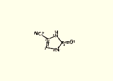 N#CC1=C[N]C(=O)N1